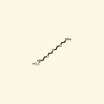 CNCCOCCOCCOCCNC(=O)O